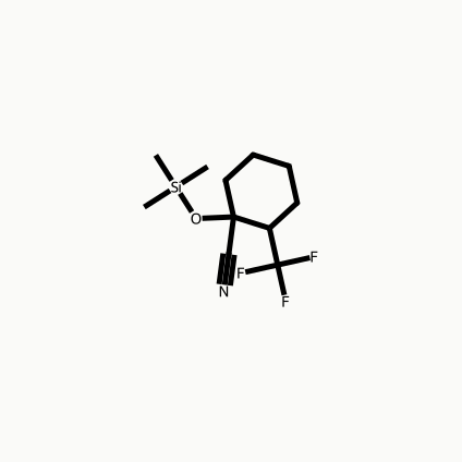 C[Si](C)(C)OC1(C#N)CCCCC1C(F)(F)F